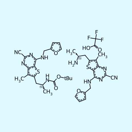 Cc1c(C[C@H](C)N)sc2c(NCc3ccco3)nc(C#N)nc12.Cc1c(C[C@H](C)NC(=O)OC(C)(C)C)sc2c(NCc3ccco3)nc(C#N)nc12.O=C(O)C(F)(F)F